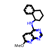 COc1ccc2c(NC3CCCc4ccccc43)ncnc2n1